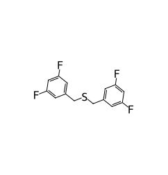 Fc1cc(F)cc(CSCc2cc(F)cc(F)c2)c1